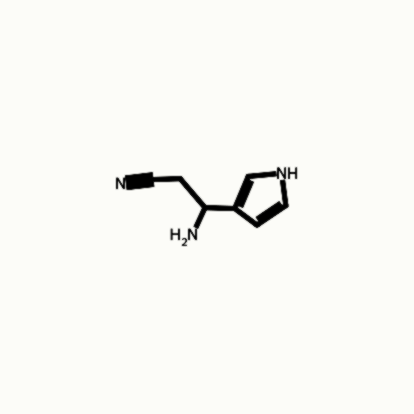 N#CCC(N)c1cc[nH]c1